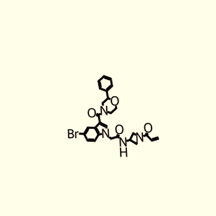 C=CC(=O)N1CC(NC(=O)Cn2cc(C(=O)N3CCOC(c4ccccc4)C3)c3cc(Br)ccc32)C1